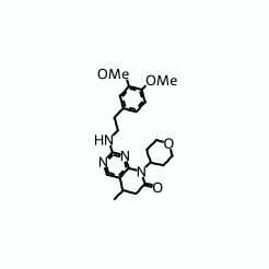 COc1ccc(CCNc2ncc3c(n2)N(C2CCOCC2)C(=O)CC3C)cc1OC